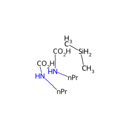 CCCNC(=O)O.CCCNC(=O)O.C[SiH2]C